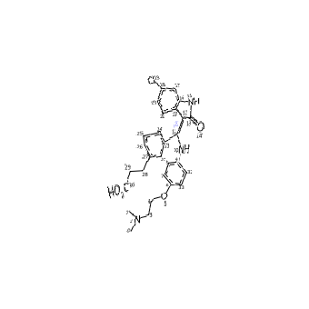 CN(C)CCOc1ccc(N/C(=C2\C(=O)Nc3cc(Cl)ccc32)c2cccc(CCC(=O)O)c2)cc1